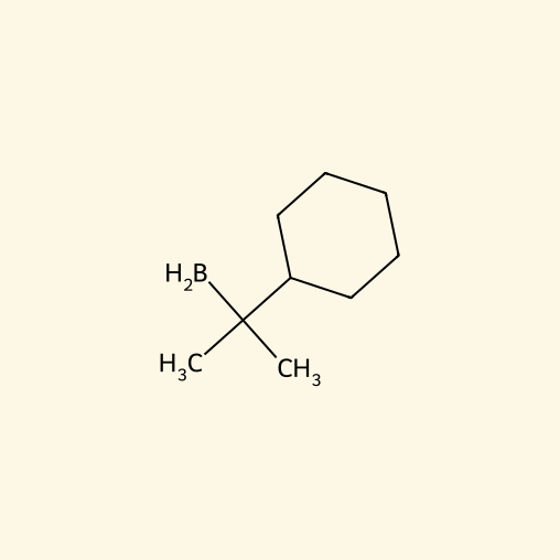 BC(C)(C)C1CCCCC1